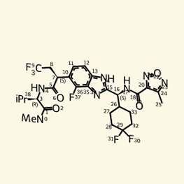 CNC(=O)[C@H](NC(=O)[C@@H](CC(F)(F)F)c1ccc2[nH]c([C@@H](NC(=O)c3nonc3C)C3CCC(F)(F)CC3)nc2c1F)C(C)C